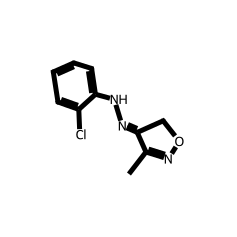 CC1=NOCC1=NNc1ccccc1Cl